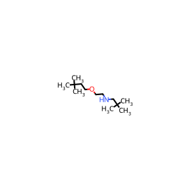 CC(C)(C)CCOCCNCC(C)(C)C